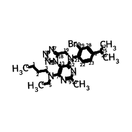 CCCCN(CC)c1nc(C)nc2c1-n1nnnc1CN2c1ccc(C(C)C)cc1Br